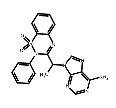 CC(C1=Nc2ccccc2S(=O)(=O)N1c1ccccc1)n1cnc2c(N)ncnc21